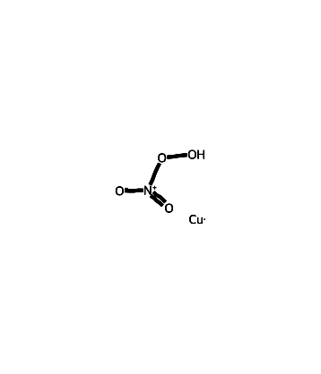 O=[N+]([O-])OO.[Cu]